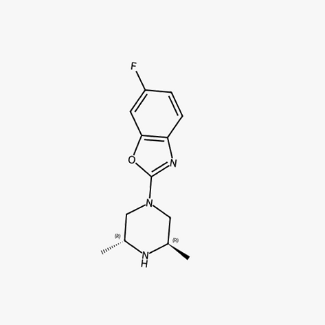 C[C@@H]1CN(c2nc3ccc(F)cc3o2)C[C@@H](C)N1